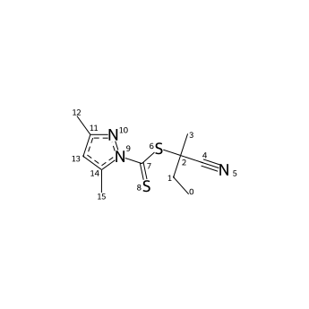 CCC(C)(C#N)SC(=S)n1nc(C)cc1C